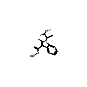 COC(=O)C(C)n1c(C)c(C(=O)OC(C)(C)C)c2cccnc21